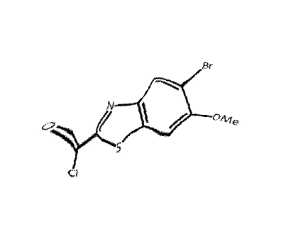 COc1cc2sc(C(=O)Cl)nc2cc1Br